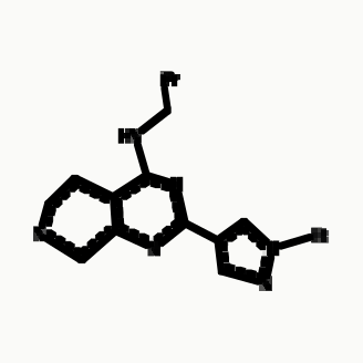 CCn1cc(-c2nc(NCC(C)C)c3ccncc3n2)cn1